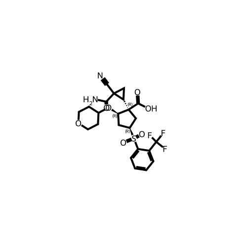 N#CC1(C(N)=O)CC1[C@]1(C(=O)O)C[C@@H](S(=O)(=O)c2ccccc2C(F)(F)F)C[C@H]1OC1CCOCC1